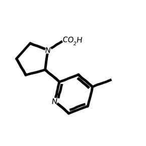 Cc1ccnc(C2CCCN2C(=O)O)c1